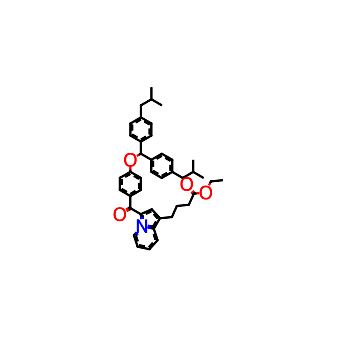 CCOC(=O)CCCc1cc(C(=O)c2ccc(OC(c3ccc(CC(C)C)cc3)c3ccc(CC(C)C)cc3)cc2)n2ccccc12